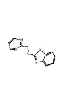 c1cnc(CSc2nc3ccccc3s2)nc1